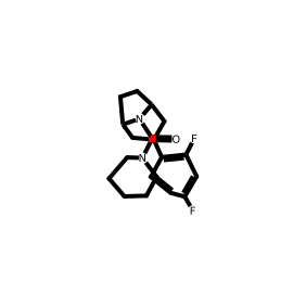 O=C(N1CCCCC1)N1C2CCC1CC(c1ccc(F)cc1F)C2